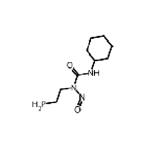 O=NN(CCP)C(=O)NC1CCCCC1